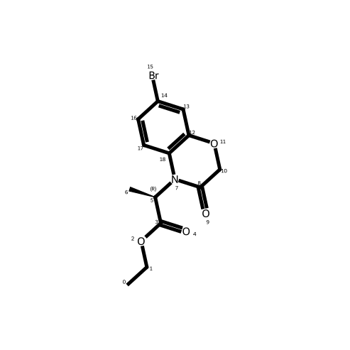 CCOC(=O)[C@@H](C)N1C(=O)COc2cc(Br)ccc21